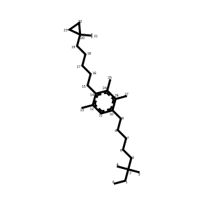 CCC(C)(C)CCCCCc1cc(C)c(CCCCCC2(I)CC2)c(C)c1C